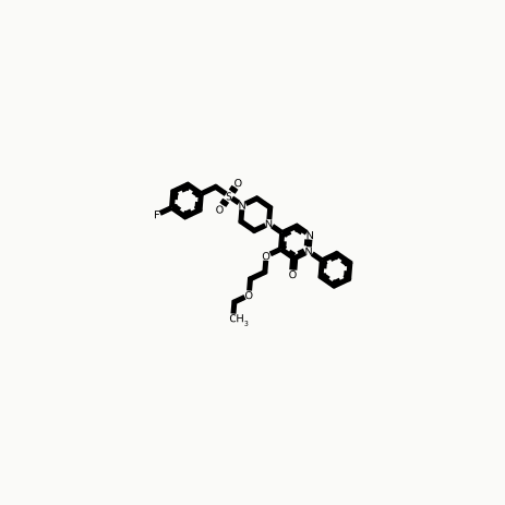 CCOCCOc1c(N2CCN(S(=O)(=O)Cc3ccc(F)cc3)CC2)cnn(-c2ccccc2)c1=O